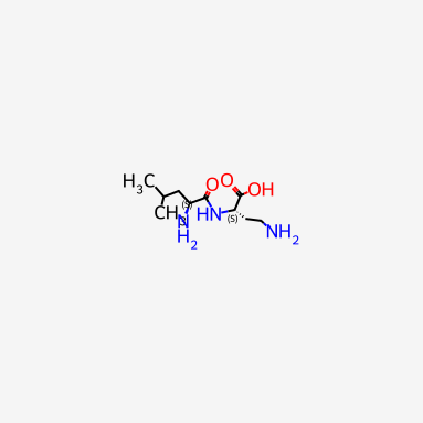 CC(C)C[C@H](N)C(=O)N[C@@H](CCN)C(=O)O